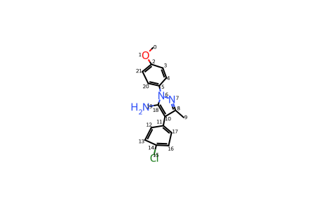 COc1ccc(-n2nc(C)c(-c3ccc(Cl)cc3)c2N)cc1